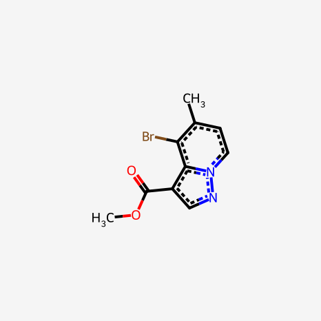 COC(=O)c1cnn2ccc(C)c(Br)c12